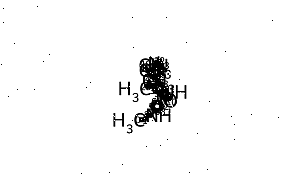 CCCN[C@H]1CC[C@@H](n2c(=O)[nH]c3cc(-c4cc(OC)c5ncnn5c4)c(C(C)C)cc32)CC1